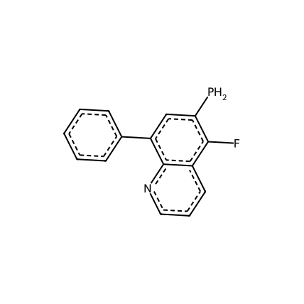 Fc1c(P)cc(-c2ccccc2)c2ncccc12